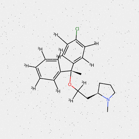 [2H]c1c([2H])c([2H])c([C@@](C)(OC([2H])([2H])C[C@H]2CCCN2C)c2c([2H])c([2H])c(Cl)c([2H])c2[2H])c([2H])c1[2H]